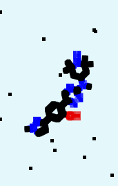 CN(c1ncc(-c2ccc(-c3ccn(C)n3)cc2O)nn1)C1CC(C)(C)NC(C)(C)C1